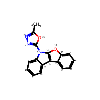 Cc1nnc(-n2c3ccccc3c3c4ccccc4oc32)o1